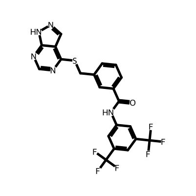 O=C(Nc1cc(C(F)(F)F)cc(C(F)(F)F)c1)c1cccc(CSc2ncnc3[nH]ncc23)c1